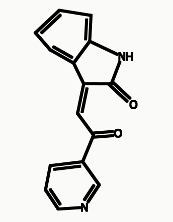 O=C1Nc2ccccc2C1=CC(=O)c1cccnc1